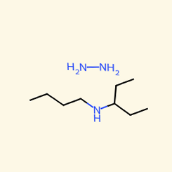 CCCCNC(CC)CC.NN